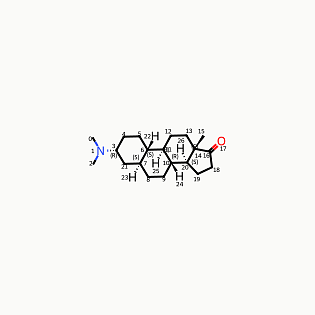 CN(C)[C@@H]1CC[C@H]2[C@@H](CC[C@@H]3[C@@H]2CC[C@]2(C)C(=O)CC[C@@H]32)C1